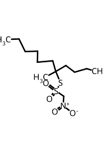 CCCCCCC(C)(CCCC)SS(=O)(=O)C[N+](=O)[O-]